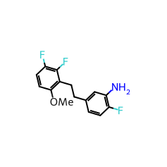 COc1ccc(F)c(F)c1CCc1ccc(F)c(N)c1